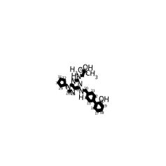 CC(C)(O)CNc1nc(NCc2ccc(-c3ccccc3O)cc2)c2ncn(C3CCCC3)c2n1